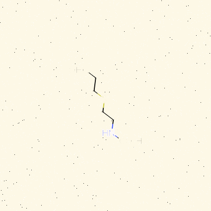 O=CCCSCCNC(=O)O